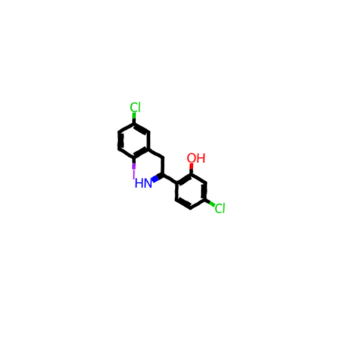 N=C(Cc1cc(Cl)ccc1I)c1ccc(Cl)cc1O